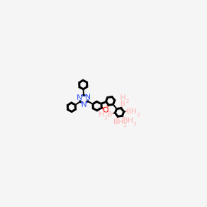 Bc1c(B)c(B)c(-c2cccc3c2oc2ccc(-c4nc(-c5ccccc5)nc(-c5ccccc5)n4)cc23)c(B)c1B